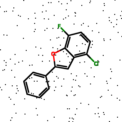 Fc1ccc(Cl)c2cc(-c3ccccc3)oc12